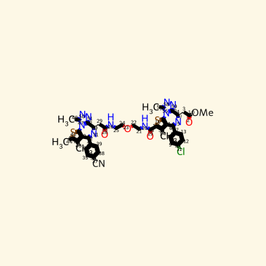 COC(=O)C[C@@H]1N=C(c2ccc(Cl)cc2)c2c(sc(C(=O)NCCOCCNC(=O)C[C@@H]3N=C(c4ccc(C#N)cc4)c4c(sc(C)c4C)-n4c(C)nnc43)c2C)-n2c(C)nnc21